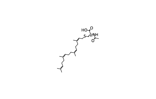 CC(=O)N[C@@H](CSCC=C(C)CCC=C(C)CCC=C(C)CCC=C(C)C)C(=O)O